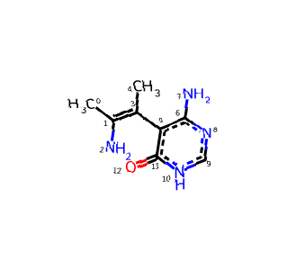 C/C(N)=C(\C)c1c(N)nc[nH]c1=O